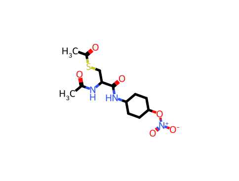 CC(=O)NC(CSC(C)=O)C(=O)NC1CCC(O[N+](=O)[O-])CC1